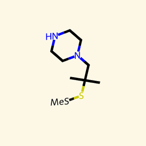 CSSC(C)(C)CN1CCNCC1